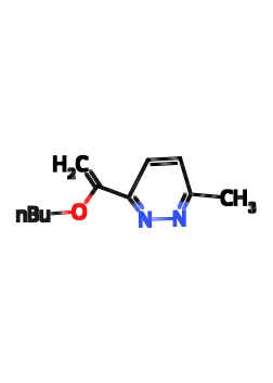 C=C(OCCCC)c1ccc(C)nn1